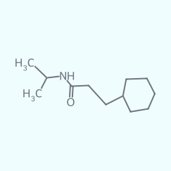 CC(C)NC(=O)CCC1CCCCC1